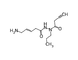 C#CCC(=O)N(CCC)NC(=O)CC=CCN